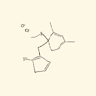 CSC1(CC2=[C]([Ti+2])CC=C2)CC=C(C)C=C1C.[Cl-].[Cl-]